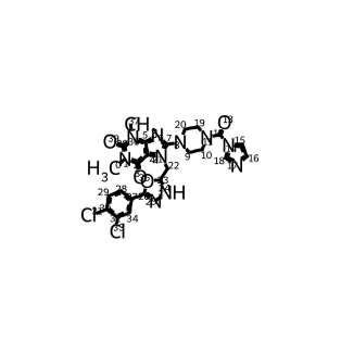 Cn1c(=O)c2c(nc(N3CCN(C(=O)n4ccnc4)CC3)n2CC2NN=C(c3ccc(Cl)c(Cl)c3)O2)n(C)c1=O